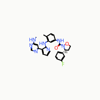 CNc1cc(-c2cccnc2Nc2cc(NC(=O)N3OCC[C@@H]3c3cccc(F)c3)ccc2C)ncn1